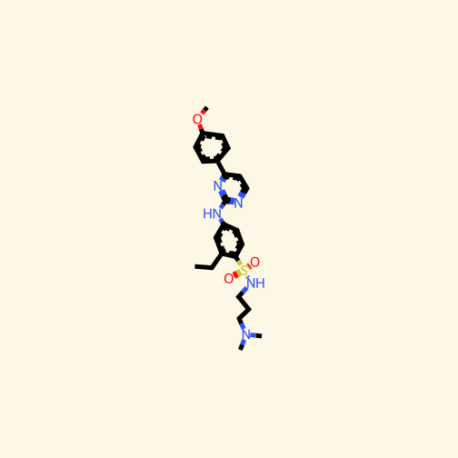 CCc1cc(Nc2nccc(-c3ccc(OC)cc3)n2)ccc1S(=O)(=O)NCCCN(C)C